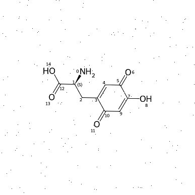 N[C@@H](CC1=CC(=O)C(O)=CC1=O)C(=O)O